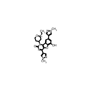 CC[C@H]1CC(n2c(=O)nc(-c3cnn(C)c3)c3oc4c(O)cc(-c5cnn(C)c5)cc4c32)CCO1